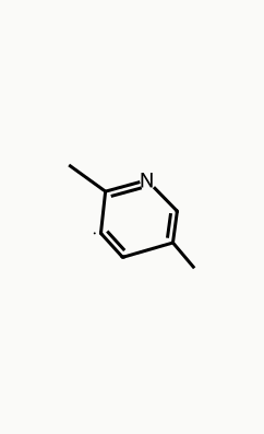 Cc1c[c]c(C)nc1